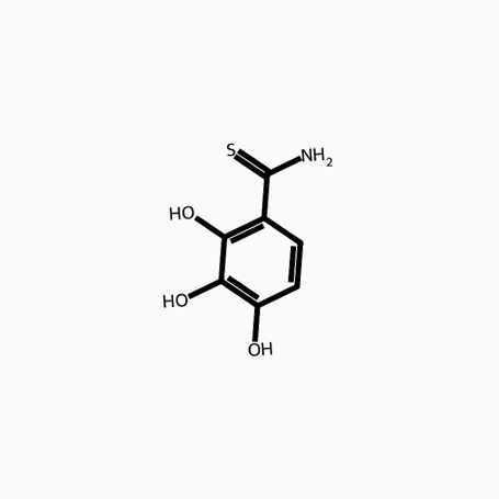 NC(=S)c1ccc(O)c(O)c1O